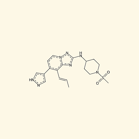 CC=Cc1c(-c2cn[nH]c2)ccn2nc(NC3CCN(S(C)(=O)=O)CC3)nc12